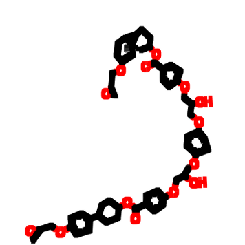 O=C(OC1CCC(c2ccc(OCC3CO3)cc2)CC1)c1ccc(OCC(O)COc2ccc(OCC(O)COc3ccc(C(=O)OC4CCC5C6C=CC(OCC7CO7)=C[C@@]65C4)cc3)cc2)cc1